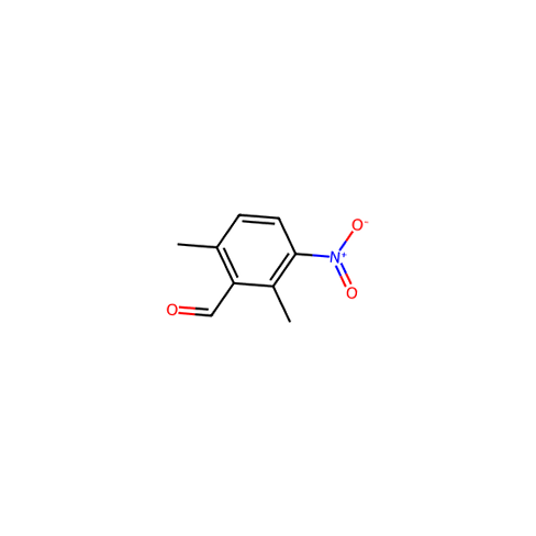 Cc1ccc([N+](=O)[O-])c(C)c1C=O